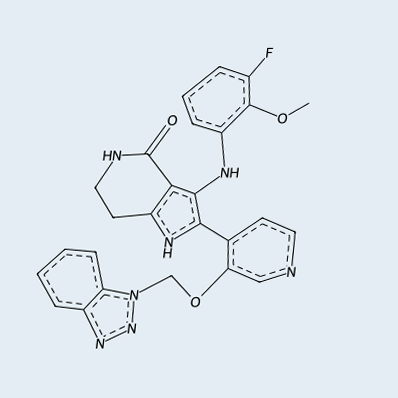 COc1c(F)cccc1Nc1c(-c2ccncc2OCn2nnc3ccccc32)[nH]c2c1C(=O)NCC2